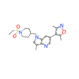 CCS(=O)(=O)N1CCC(Cn2cc(C)c3ncc(-c4c(C)noc4C)cc32)CC1